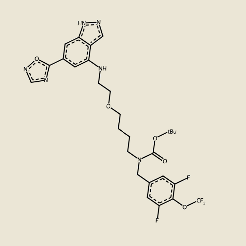 CC(C)(C)OC(=O)N(CCCCOCCNc1cc(-c2ncno2)cc2[nH]ncc12)Cc1cc(F)c(OC(F)(F)F)c(F)c1